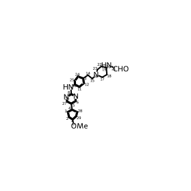 COc1ccc(-c2cnc(Nc3ccc(CCN4CCC(NC=O)CC4)cc3)nc2)cc1